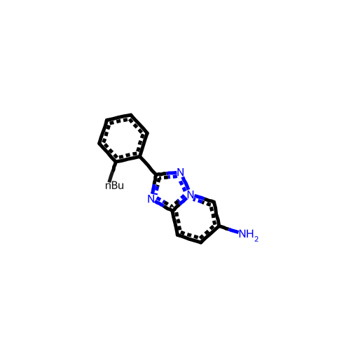 CCCCc1ccccc1-c1nc2ccc(N)cn2n1